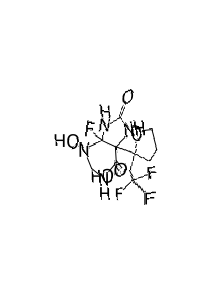 O=C1NC2(F)N(O)CNC(=O)C2(C2([C@@H](O)C(F)(F)F)CCCO2)N1